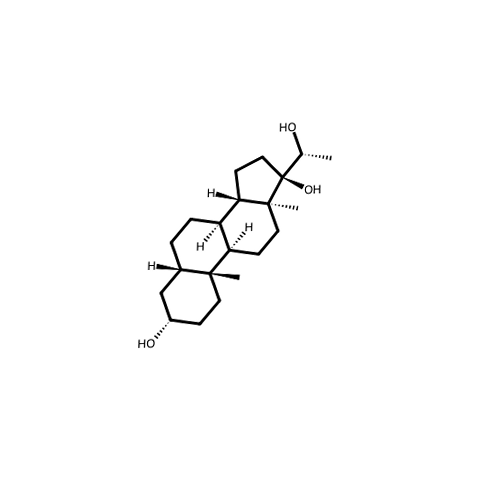 C[C@@H](O)[C@@]1(O)CC[C@H]2[C@@H]3CC[C@H]4C[C@@H](O)CC[C@@]4(C)[C@@H]3CC[C@@]21C